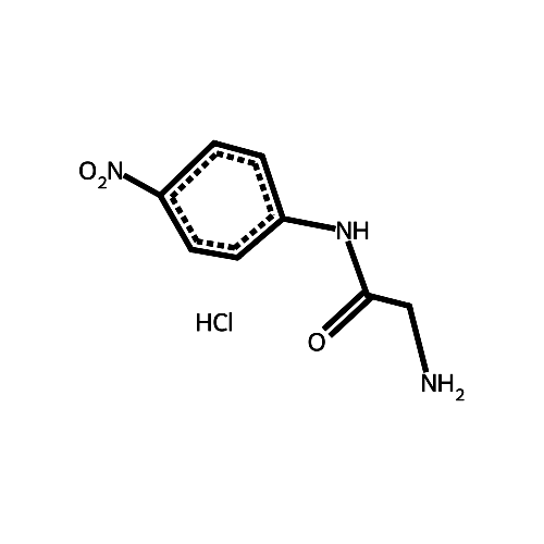 Cl.NCC(=O)Nc1ccc([N+](=O)[O-])cc1